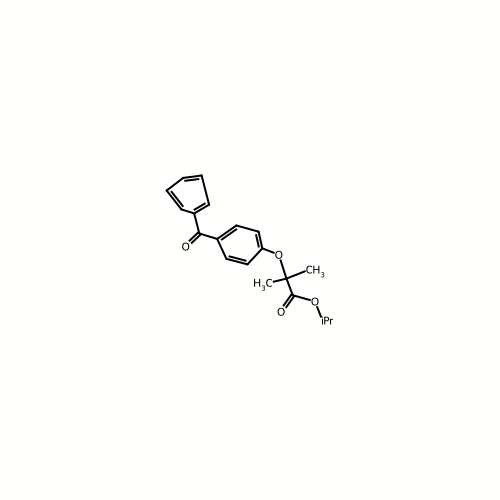 CC(C)OC(=O)C(C)(C)Oc1ccc(C(=O)c2ccccc2)cc1